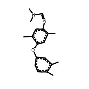 Cc1ccc(Oc2cc(C)c(/N=C\N(C)C)cc2C)cc1C